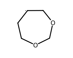 [CH]1CCOCOC1